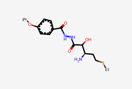 CCSCC[C@@H](N)C(O)C(=O)NNC(=O)c1ccc(OC(C)C)cc1